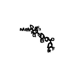 CC[C@H]1CN(c2nc(N)c(C(=O)NC)nc2Cl)CCN1C1CCN(C(=O)c2ccc(Br)c(F)c2)CC1